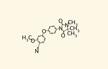 COc1cc(Oc2ccc(N3C(=O)N(C)C(C)(C)C3=O)cc2)ccc1C#N